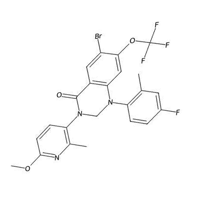 COc1ccc(N2CN(c3ccc(F)cc3C)c3cc(OC(F)(F)F)c(Br)cc3C2=O)c(C)n1